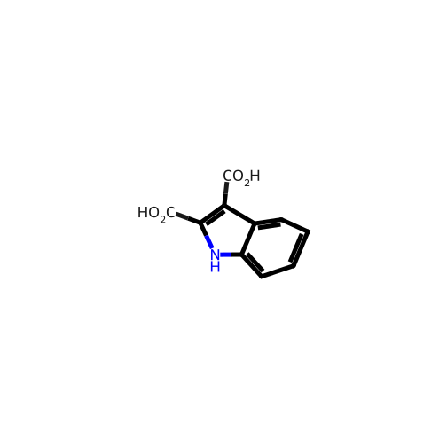 O=C(O)c1[nH]c2ccccc2c1C(=O)O